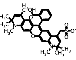 CC1=CC(C)(C)N(C)c2cc3c(cc21)C(c1ccccc1C(=O)O)=c1cc2c(cc1O3)=[N+](C)C(C)(C)C=C2CS(=O)(=O)[O-]